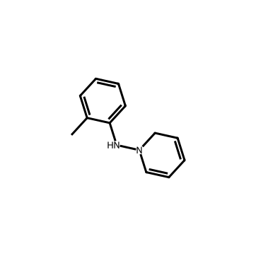 Cc1ccccc1NN1C=CC=CC1